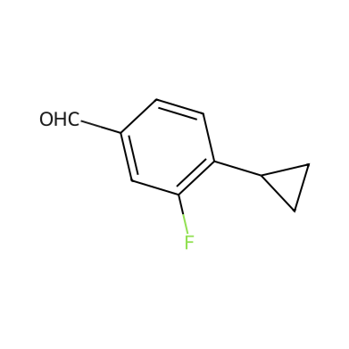 O=Cc1ccc(C2CC2)c(F)c1